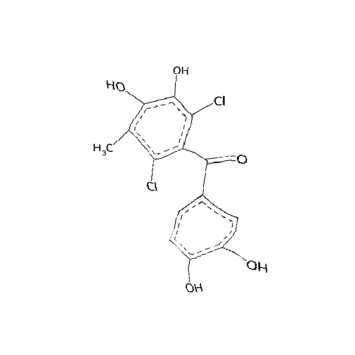 Cc1c(O)c(O)c(Cl)c(C(=O)c2ccc(O)c(O)c2)c1Cl